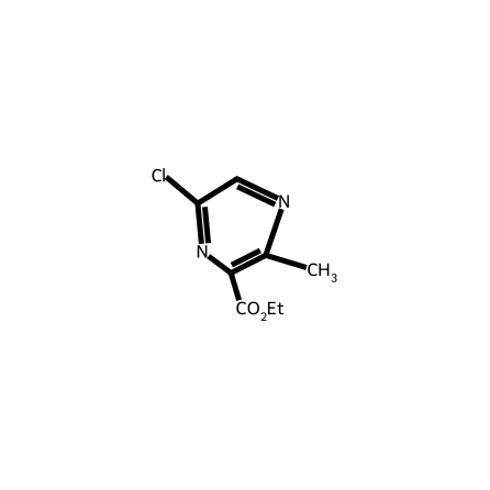 CCOC(=O)c1nc(Cl)cnc1C